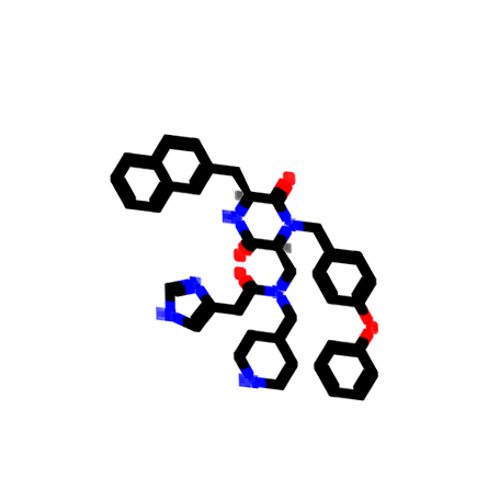 O=C1N[C@@H](Cc2ccc3ccccc3c2)C(=O)N(Cc2ccc(Oc3ccccc3)cc2)[C@H]1CN(CC1CCNCC1)C(=O)Cc1c[nH]cn1